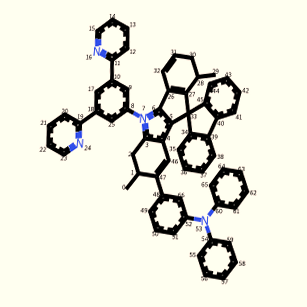 CC1Cc2c(c3c(n2-c2cc(-c4ccccn4)cc(-c4ccccn4)c2)C2=C(C(C)CC=C2)C32c3ccccc3-c3ccccc32)C=C1c1cccc(N(c2ccccc2)c2ccccc2)c1